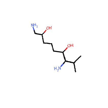 CC(C)C(N)C(O)CCCC(O)CN